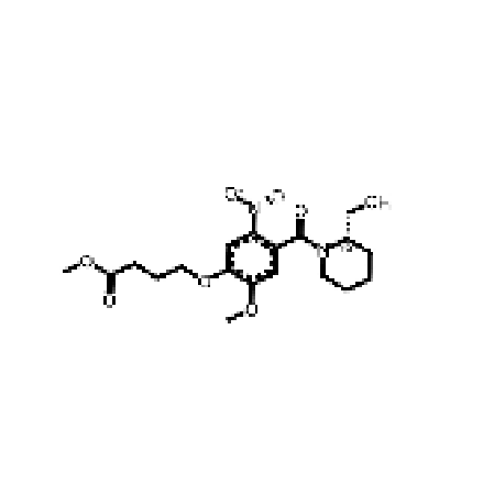 COC(=O)CCCOc1cc([N+](=O)[O-])c(C(=O)N2CCCC[C@H]2CO)cc1OC